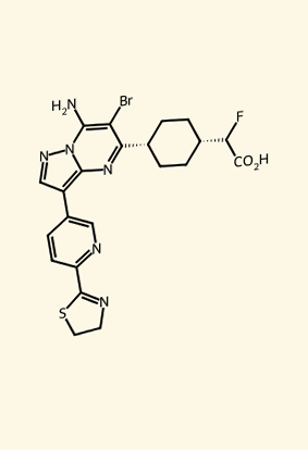 Nc1c(Br)c([C@H]2CC[C@@H](C(F)C(=O)O)CC2)nc2c(-c3ccc(C4=NCCS4)nc3)cnn12